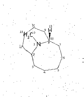 CN1C2CCCCC[C@H]1CCCC2